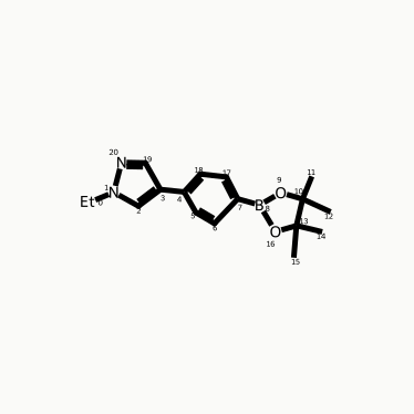 CCn1cc(-c2ccc(B3OC(C)(C)C(C)(C)O3)cc2)cn1